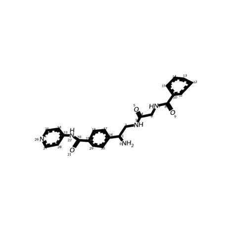 NC(CNC(=O)CNC(=O)c1ccccc1)c1ccc(C(=O)Nc2ccncc2)cc1